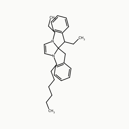 CCCCCCCN1C=CN(CCC)C1(Cc1ccccc1)C(CC)c1ccccc1